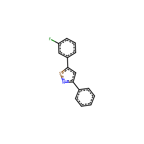 Fc1cccc(-c2cc(-c3ccccc3)ns2)c1